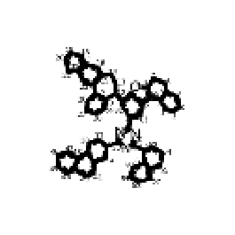 c1ccc2c(c1)CCc1oc3c(C4CCc5cc6ccccc6cc5-c5ccccc54)cc(-c4nc(-c5ccc6c(ccc7ccccc76)c5)nc(-c5cccc6ccccc56)n4)cc3c1-2